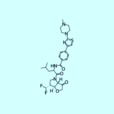 CC(C)CC(NC(=O)c1ccc(-c2csc(N3CCN(C)CC3)n2)cc1)C(=O)N1C[C@@H](C(F)F)[C@@H]2OCC(=O)[C@H]21